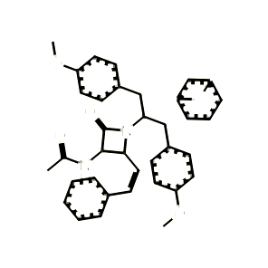 COc1ccc(CC(Cc2ccc(OC)cc2)N2C(=O)C(NC(C)=O)C2C=Cc2ccccc2)cc1.c1cc2cc(c1)O2